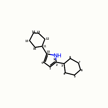 c1cc(C2CCCCC2)[nH]c1C1CCCCC1